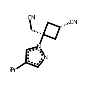 CC(C)c1cnn([C@]2(CC#N)C[C@@H](C#N)C2)c1